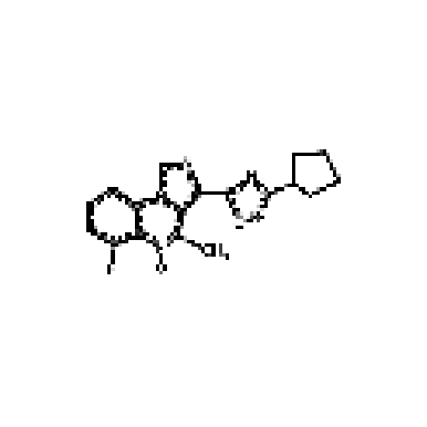 Cc1c2c(-c3nc(C4CCCC4)no3)ncn2c2cccc(F)c2[n+]1[O-]